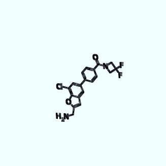 NCc1cc2cc(-c3ccc(C(=O)N4CC(F)(F)C4)cc3)cc(Cl)c2o1